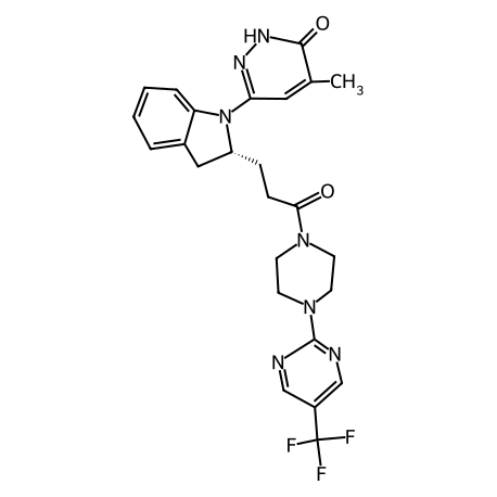 Cc1cc(N2c3ccccc3C[C@H]2CCC(=O)N2CCN(c3ncc(C(F)(F)F)cn3)CC2)n[nH]c1=O